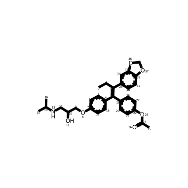 CCC(=C(c1ccc(OCC(O)CNC(C)C)cc1)c1ccc(OC(C)=O)cc1)c1ccc2c(c1)OCO2